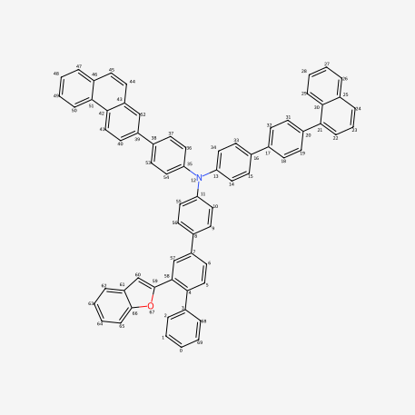 c1ccc(-c2ccc(-c3ccc(N(c4ccc(-c5ccc(-c6cccc7ccccc67)cc5)cc4)c4ccc(-c5ccc6c(ccc7ccccc76)c5)cc4)cc3)cc2-c2cc3ccccc3o2)cc1